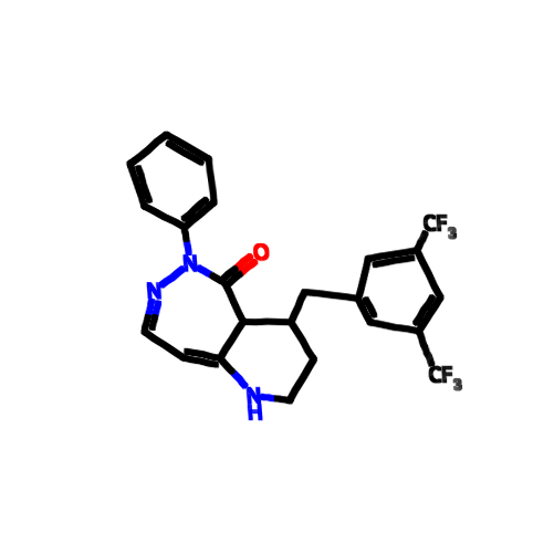 O=C1C2C(=CC=NN1c1ccccc1)NCCC2Cc1cc(C(F)(F)F)cc(C(F)(F)F)c1